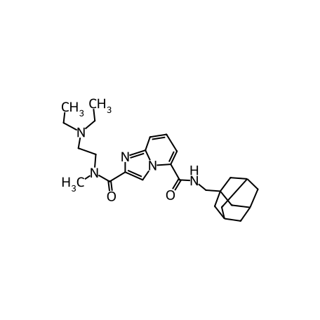 CCN(CC)CCN(C)C(=O)c1cn2c(C(=O)NCC34CC5CC(CC(C5)C3)C4)cccc2n1